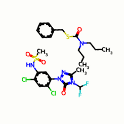 CCCN(CCC)C(=O)SCc1ccccc1.Cc1nn(-c2cc(NS(C)(=O)=O)c(Cl)cc2Cl)c(=O)n1C(F)F